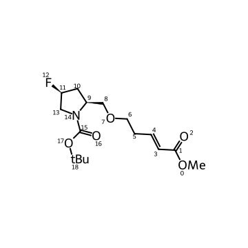 COC(=O)/C=C/CCOC[C@@H]1C[C@H](F)CN1C(=O)OC(C)(C)C